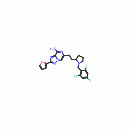 Nc1nc(CCC2CCCN2Cc2c(F)cc(F)cc2F)cn2nc(-c3ccco3)nc12